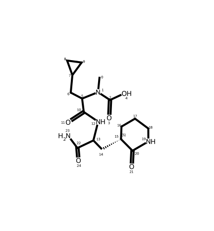 CN(C(=O)O)C(CC1CC1)C(=O)NC(C[C@@H]1CCCNC1=O)C(N)=O